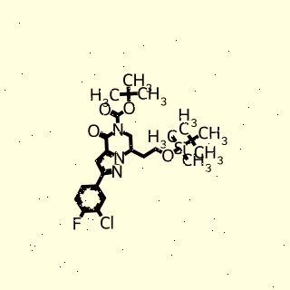 CC(C)(C)OC(=O)N1CC(CCO[Si](C)(C)C(C)(C)C)n2nc(-c3ccc(F)c(Cl)c3)cc2C1=O